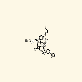 CCOOCCN1C(=CC2=C(O)C(=CC3=[N+](CC(=O)OCC)c4ccc(CS/C=C\CI)cc4C3(C)C)C2=O)C(C)(C)c2cc(-c3cccs3)ccc21